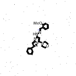 COc1ccccc1/C=N/Nc1cc(N2CCOCC2)n2nc(-c3ccccc3)cc2n1